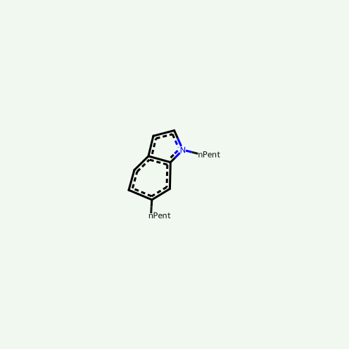 CCCCCc1ccc2ccn(CCCCC)c2c1